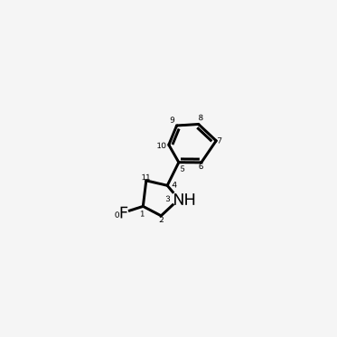 FC1CNC(c2ccccc2)C1